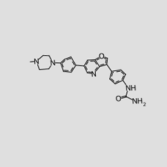 CN1CCN(c2ccc(-c3cnc4c(-c5ccc(NC(N)=O)cc5)coc4c3)cc2)CC1